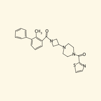 Cc1c(C(=O)N2CC(N3CCN(C(=O)c4nccs4)CC3)C2)cccc1-c1ccccc1